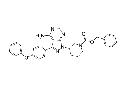 Nc1ncnc2c1c(-c1ccc(Oc3ccccc3)cc1)nn2C1CCCN(C(=O)OCc2ccccc2)C1